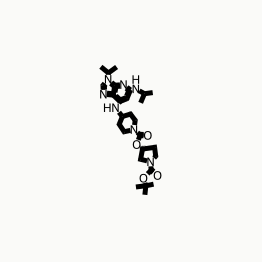 CC(C)Nc1cc(NC2CCN(C(=O)O[C@H]3CCN(C(=O)OC(C)(C)C)C3)CC2)c2ncn(C(C)C)c2n1